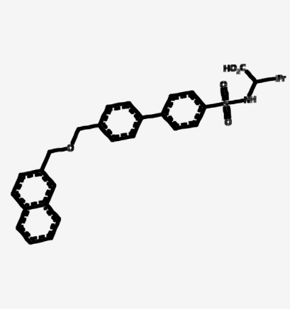 CC(C)C(NS(=O)(=O)c1ccc(-c2ccc(COCc3ccc4ccccc4c3)cc2)cc1)C(=O)O